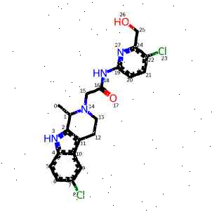 CC1c2[nH]c3ccc(Cl)cc3c2CCN1CC(=O)Nc1ccc(Cl)c(CO)n1